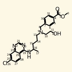 COC(=O)c1ccc(CN(CCO)CCCC(C)Nc2ncnc3cc(Cl)ccc23)cc1